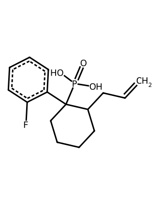 C=CCC1CCCCC1(c1ccccc1F)P(=O)(O)O